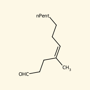 CCCCCCCC=C(C)CCC=O